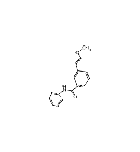 COC=Cc1cccc(C(=O)Nc2ccccc2)c1